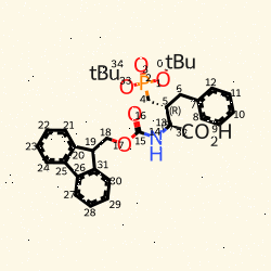 CC(C)(C)OP(=O)(C[C@H](Cc1ccccc1)[C@H](NC(=O)OCC1c2ccccc2-c2ccccc21)C(=O)O)OC(C)(C)C